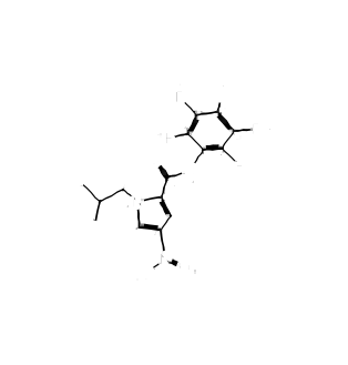 CC(C)Cn1cc([N+](=O)[O-])cc1C(=O)Oc1c(F)c(F)c(F)c(F)c1F